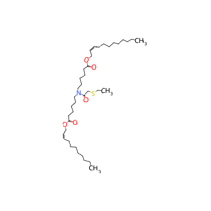 CCCCCCCC/C=C\COC(=O)CCCCCN(CCCCCC(=O)OC/C=C\CCCCCCCCC)C(=O)CSCC